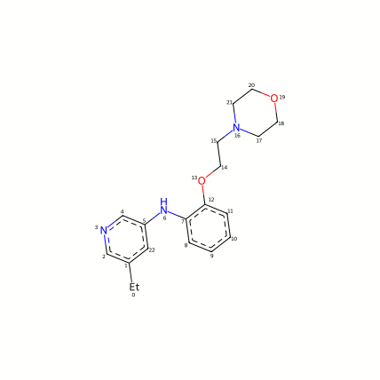 CCc1cncc(Nc2ccccc2OCCN2CCOCC2)c1